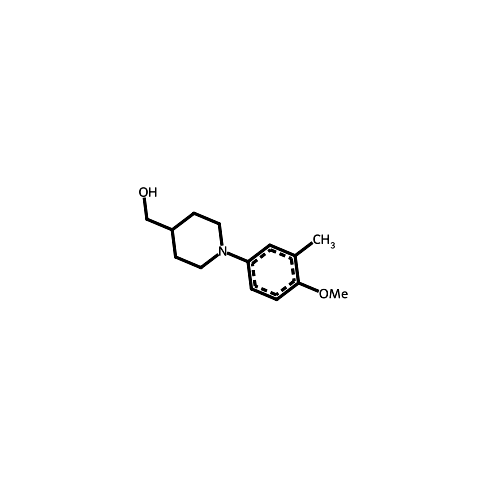 COc1ccc(N2CCC(CO)CC2)cc1C